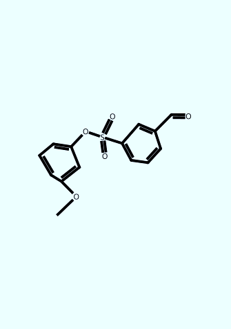 COc1cccc(OS(=O)(=O)c2cccc(C=O)c2)c1